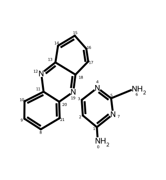 Nc1ccnc(N)n1.c1ccc2nc3ccccc3nc2c1